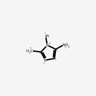 Cc1ncc([N+](=O)[O-])n1C(C)C